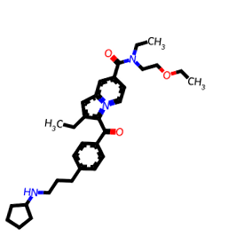 CCOCCN(CC)C(=O)c1ccn2c(C(=O)c3ccc(CCCNC4CCCC4)cc3)c(CC)cc2c1